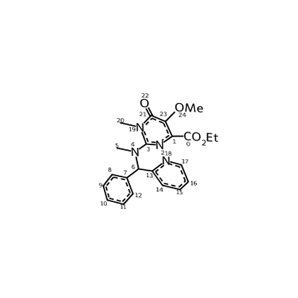 CCOC(=O)c1nc(N(C)C(c2ccccc2)c2ccccn2)n(C)c(=O)c1OC